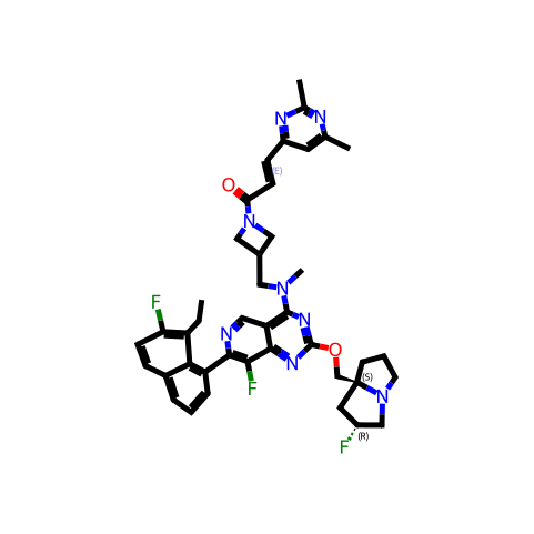 CCc1c(F)ccc2cccc(-c3ncc4c(N(C)CC5CN(C(=O)/C=C/c6cc(C)nc(C)n6)C5)nc(OC[C@@]56CCCN5C[C@H](F)C6)nc4c3F)c12